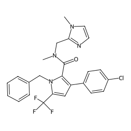 CN(Cc1nccn1C)C(=O)c1c(-c2ccc(Cl)cc2)cc(C(F)(F)F)n1Cc1ccccc1